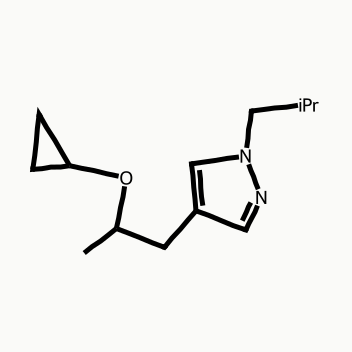 CC(C)Cn1cc(CC(C)OC2CC2)cn1